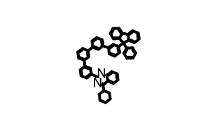 c1ccc(C2(c3cccc(-c4cccc(-c5cccc(-c6cccc(-c7nc(C8CCCCC8)c8ccccc8n7)c6)c5)c4)c3)c3ccccc3-c3ccccc32)cc1